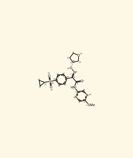 CSc1cnc(NC(=O)/C(=N/O[C@@H]2CCOC2)c2ccc(S(=O)(=O)C3CC3)cc2)cn1